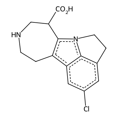 O=C(O)C1CNCCc2c1n1c3c(cc(Cl)cc23)CC1